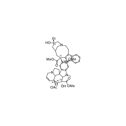 CC[C@]1(O)CC2CN(CCc3c([nH]c4ccccc34)[C@@](C(=O)OC)(c3cc4c(cc3OC)N(C)C3C45CCN4CC=C[C@](CC)(C45)[C@@H](OC(C)=O)[C@]3(O)C(=O)OC)C2)C1